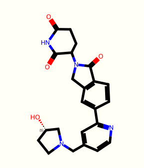 O=C1CCC(N2Cc3cc(-c4cc(CN5CC[C@H](O)C5)ccn4)ccc3C2=O)C(=O)N1